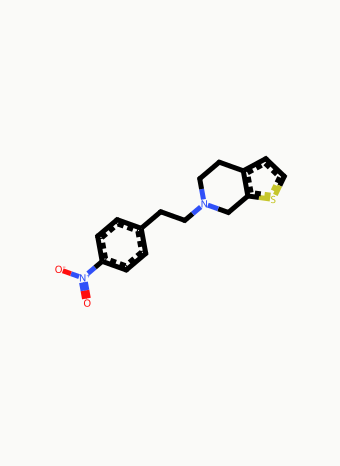 O=[N+]([O-])c1ccc(CCN2CCc3ccsc3C2)cc1